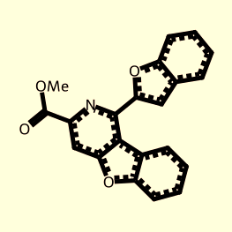 COC(=O)c1cc2oc3ccccc3c2c(-c2cc3ccccc3o2)n1